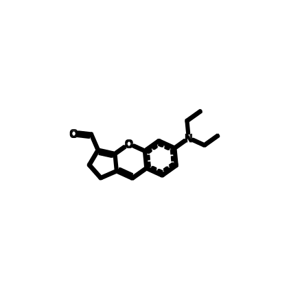 CCN(CC)c1ccc2c(c1)OC1=C(C=O)CCC1=C2